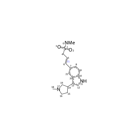 CNS(=O)(=O)C/C=C/c1ccc2[nH]cc(C3CCN(C)C3)c2c1